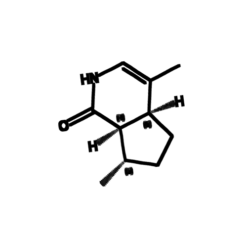 CC1=CNC(=O)[C@H]2[C@@H]1CC[C@@H]2C